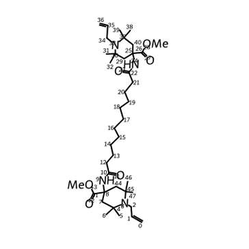 C=CCN1C(C)(C)CC(NC(=O)CCCCCCCCCCC(=O)NC2(C(=O)OC)CC(C)(C)N(CC=C)C(C)(C)C2)(C(=O)OC)CC1(C)C